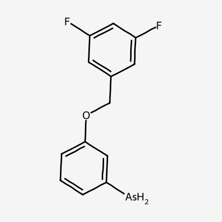 Fc1cc(F)cc(COc2cccc([AsH2])c2)c1